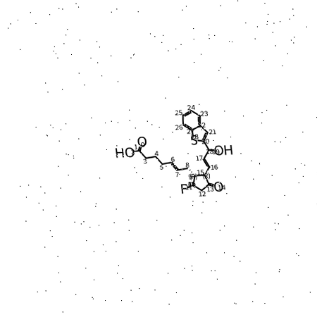 O=C(O)CCCC=CC[C@H]1[C@H](F)CC(=O)[C@@H]1C=CC(O)c1cc2ccccc2s1